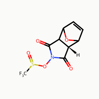 O=C1C2C3C=CC(O3)[C@@H]2C(=O)N1OS(=O)C(F)(F)F